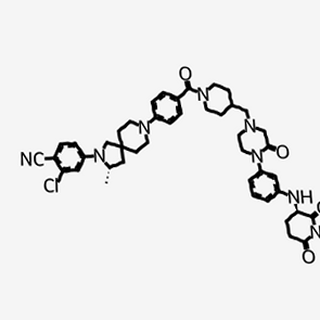 C[C@H]1CC2(CCN(c3ccc(C(=O)N4CCC(CN5CCN(c6cccc(N[C@@H]7CCC(=O)NC7=O)c6)C(=O)C5)CC4)cc3)CC2)CN1c1ccc(C#N)c(Cl)c1